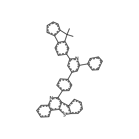 CC1(C)c2ccccc2-c2ccc(-c3cc(-c4ccc(-c5nc6ccccc6c6sc7ccccc7c56)cc4)cc(-c4ccccc4)n3)cc21